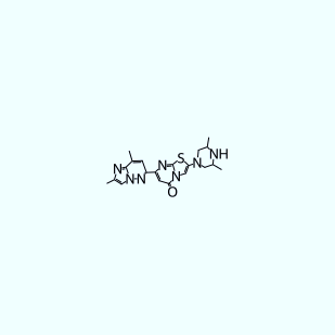 Cc1cn2nc(-c3cc(=O)n4cc(N5CC(C)NC(C)C5)sc4n3)cc(C)c2n1